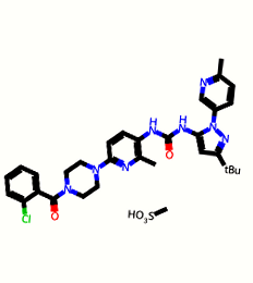 CS(=O)(=O)O.Cc1ccc(-n2nc(C(C)(C)C)cc2NC(=O)Nc2ccc(N3CCN(C(=O)c4ccccc4Cl)CC3)nc2C)cn1